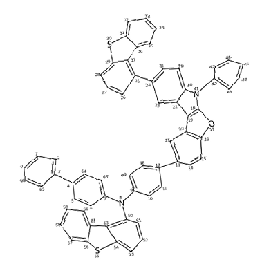 c1ccc(-c2ccc(N(c3ccc(-c4ccc5oc6c(c5c4)c4cc(-c5cccc7sc8ccccc8c57)ccc4n6-c4ccccc4)cc3)c3cccc4sc5ccccc5c34)cc2)cc1